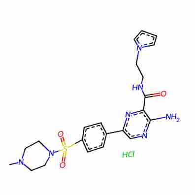 CN1CCN(S(=O)(=O)c2ccc(-c3cnc(N)c(C(=O)NCCn4cccc4)n3)cc2)CC1.Cl